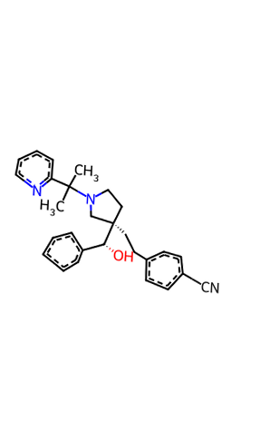 CC(C)(c1ccccn1)N1CC[C@@](CCc2ccc(C#N)cc2)([C@H](O)c2ccccc2)C1